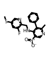 CSc1cnc(CNc2c([N+](=O)[O-])cnc(C)c2-c2ccccc2)c(F)c1